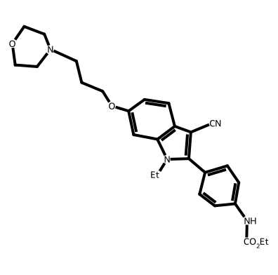 CCOC(=O)Nc1ccc(-c2c(C#N)c3ccc(OCCCN4CCOCC4)cc3n2CC)cc1